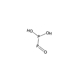 O=PP(O)O